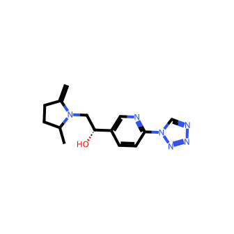 C=C1CCC(C)N1C[C@@H](O)c1ccc(-n2cnnn2)nc1